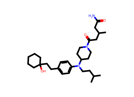 CC(C)CCN(c1ccc(CCC2(O)CCCCC2)cc1)C1CCN(C(=O)CC(C)CC(N)=O)CC1